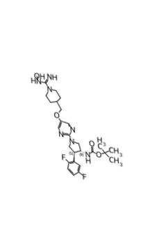 CC(C)(C)OC(=O)N[C@H]1CN(c2ncc(OCC3CCN(C(=N)NO)CC3)cn2)C[C@@H]1c1cc(F)ccc1F